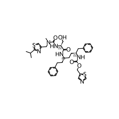 CC(C)c1nc(CN(C)C(=O)N[C@@H](CO)C(=O)N[C@H](CCc2ccccc2)CC[C@@H](Cc2ccccc2)NC(=O)OCc2cncs2)cs1